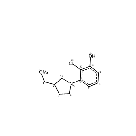 COCC1CCN(c2cccc(O)c2Cl)C1